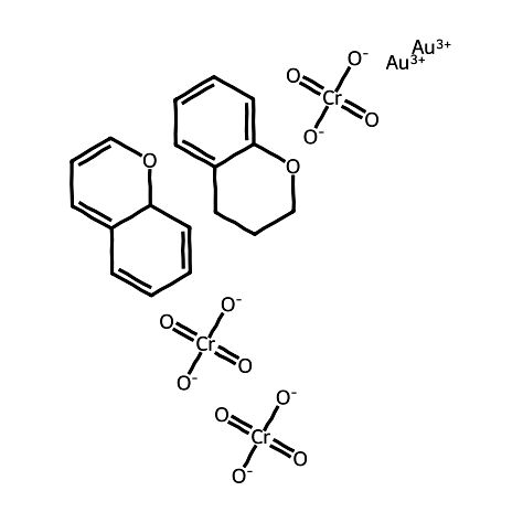 C1=COC2C=CC=CC2=C1.[Au+3].[Au+3].[O]=[Cr](=[O])([O-])[O-].[O]=[Cr](=[O])([O-])[O-].[O]=[Cr](=[O])([O-])[O-].c1ccc2c(c1)CCCO2